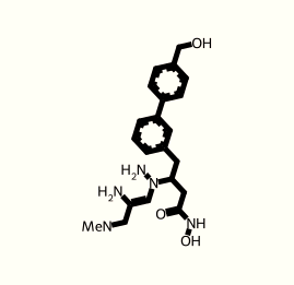 CNC/C(N)=C/N(N)C(CC(=O)NO)Cc1cccc(-c2ccc(CO)cc2)c1